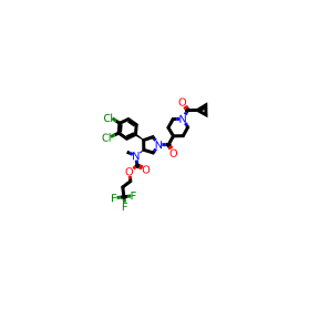 CN(C(=O)OCCC(F)(F)F)[C@H]1CN(C(=O)C2CCN(C(=O)C3=CC3)CC2)C[C@@H]1c1ccc(Cl)c(Cl)c1